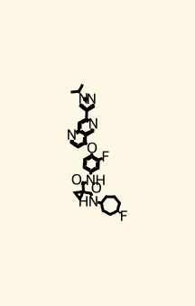 CC(C)n1cc(-c2cc3nccc(Oc4ccc(NC(=O)C5(C(=O)NC6CCC[C@@H](F)CC6)CC5)cc4F)c3cn2)cn1